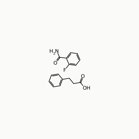 NC(=O)c1ccccc1F.O=C(O)CCc1ccccc1